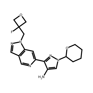 Nc1cn(C2CCCCO2)nc1-c1cc2c(cn1)cnn2CC1(F)COC1